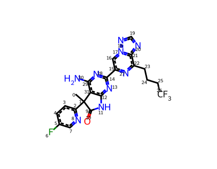 CC1(c2ccc(F)cn2)C(=O)Nc2nc(-c3cn4ncnc4c(CCCC(F)(F)F)n3)nc(N)c21